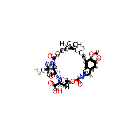 CC1(C)CCCc2c3c(cc4c2OCO4)CN(C3)C(=O)O[C@@H]2CC(C(=O)O)N(C2)C(=O)[C@H](C(C)(C)C)NC(=O)OCC1